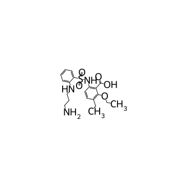 CCOc1c(CC)ccc(NS(=O)(=O)c2ccccc2NCCCN)c1C(=O)O